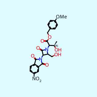 COc1ccc(COC(=O)C([C@@H](C)O)N2C(=O)C(N3C(=O)c4ccc([N+](=O)[O-])cc4C3=O)C2CO)cc1